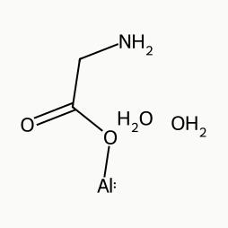 NCC(=O)[O][Al].O.O